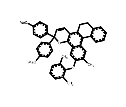 COc1ccc(C2(c3ccc(OC)cc3)C=Cc3c4c(c5cc(C)c(Sc6c(C)cccc6C)cc5c3O2)-c2ccccc2CC4)cc1